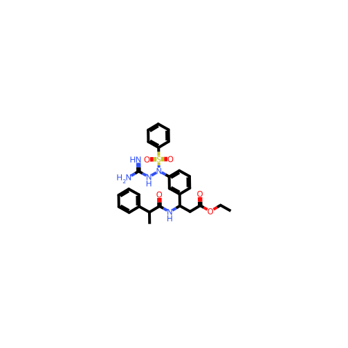 CCOC(=O)CC(NC(=O)C(C)c1ccccc1)c1cccc(N(NC(=N)N)S(=O)(=O)c2ccccc2)c1